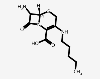 CCCCCNC1=C(C(=O)O)N2C(=O)C(N)[C@@H]2SC1